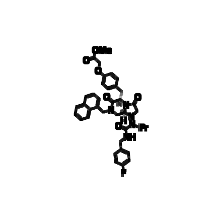 COC(=O)COc1ccc(C[C@H]2C(=O)N(Cc3cccc4ccccc34)C[C@H]3N2C(=O)CN3N(C(=O)NCc2ccc(F)cc2)C(C)C)cc1